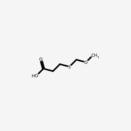 COCSCCC(=O)O